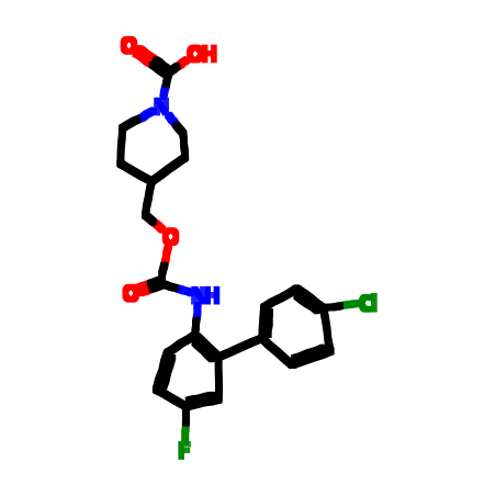 O=C(Nc1ccc(F)cc1-c1ccc(Cl)cc1)OCC1CCN(C(=O)O)CC1